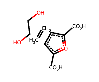 C=C.O=C(O)c1ccc(C(=O)O)o1.OCCO